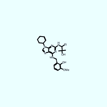 CCC(Nc1nc(NCc2cccc(OC)c2O)c2ncn(C3CCCCC3)c2n1)C(C)(C)O